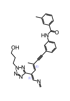 C=N/C=C(\C=C(/C)C#Cc1cccc(NC(=O)c2cccc(C)c2)c1)c1nnn(CCCO)n1